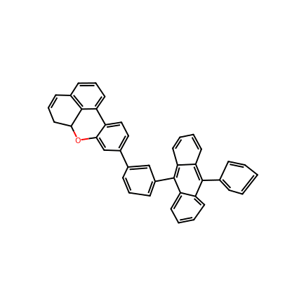 C1=Cc2cccc3c2C(C1)Oc1cc(-c2cccc(-c4c5ccccc5c(-c5ccccc5)c5ccccc45)c2)ccc1-3